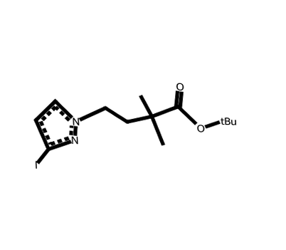 CC(C)(C)OC(=O)C(C)(C)CCn1ccc(I)n1